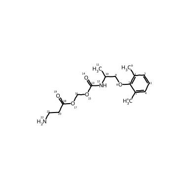 Cc1cccc(C)c1OCC(C)NC(=O)OCOC(=O)CCN